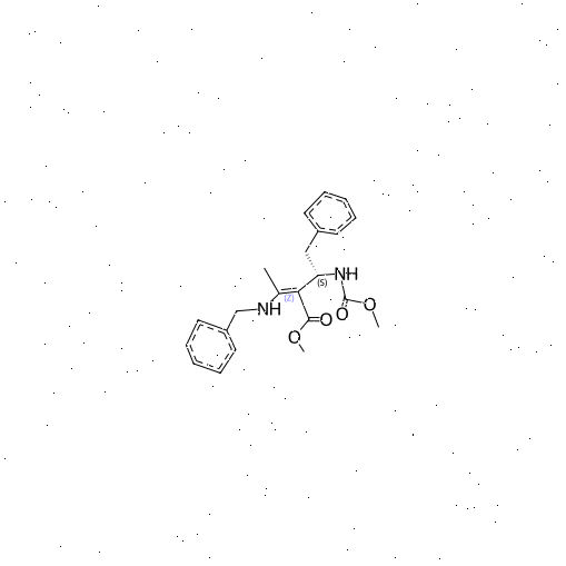 COC(=O)N[C@@H](Cc1ccccc1)/C(C(=O)OC)=C(\C)NCc1ccccc1